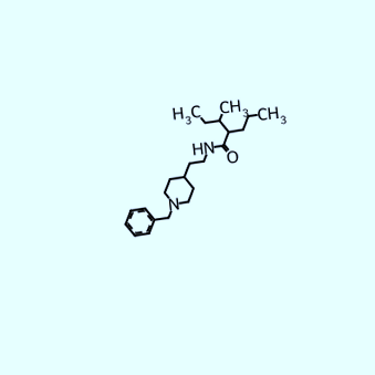 CCCC(C(=O)NCCC1CCN(Cc2ccccc2)CC1)C(C)CC